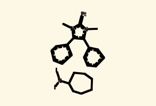 Cn1c(-c2ccccc2)c(-c2ccccc2)n(C)[c]1=[Pt].IN(I)C1CCCCCC1